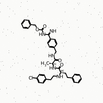 C[C@H](NC(=O)[C@@H](CCc1ccccc1)NCCc1ccc(Cl)cc1)C(=O)NCc1ccc(C(=N)NC(=O)OCc2ccccc2)cc1